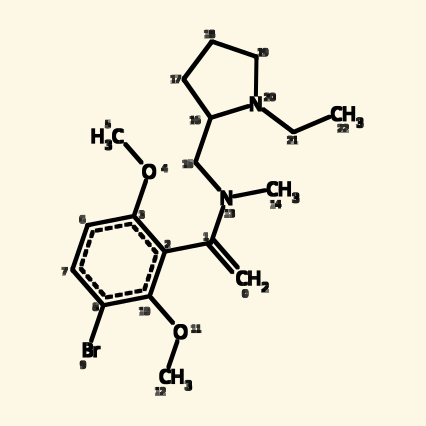 C=C(c1c(OC)ccc(Br)c1OC)N(C)CC1CCCN1CC